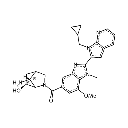 COc1cc(C(=O)N2CC3C[C@H](O)C2[C@@H]3N)cc2nc(-c3cc4cccnc4n3CC3CC3)n(C)c12